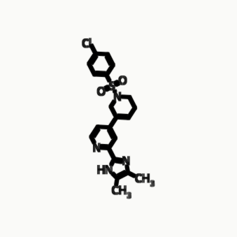 Cc1nc(-c2cc(C3=CCCN(S(=O)(=O)c4ccc(Cl)cc4)C3)ccn2)[nH]c1C